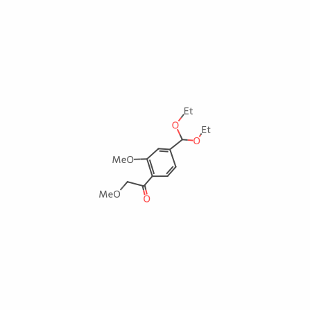 CCOC(OCC)c1ccc(C(=O)COC)c(OC)c1